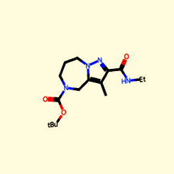 CCNC(=O)c1nn2c(c1C)CN(C(=O)OC(C)(C)C)CCC2